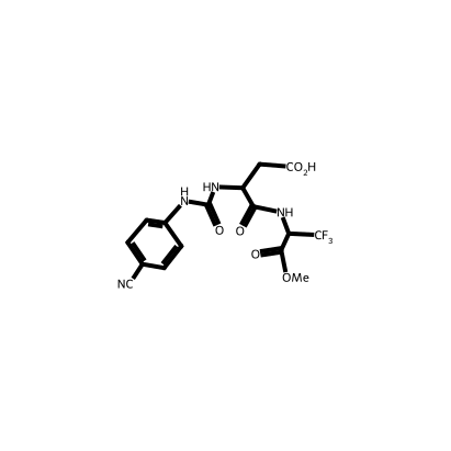 COC(=O)C(NC(=O)C(CC(=O)O)NC(=O)Nc1ccc(C#N)cc1)C(F)(F)F